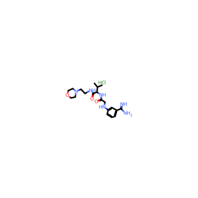 CC(C)C(NC(=O)CNc1cccc(C(=N)N)c1)C(=O)NCCN1CCOCC1.Cl